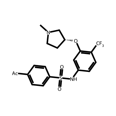 CC(=O)c1ccc(S(=O)(=O)Nc2ccc(C(F)(F)F)c(O[C@@H]3CCN(C)C3)c2)cc1